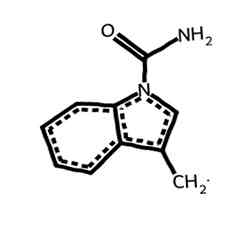 [CH2]c1cn(C(N)=O)c2ccccc12